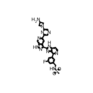 CS(=O)(=O)NCc1cc(F)cc(-c2nccc3[nH]c(-c4n[nH]c5cnc(-c6cncc(N7CC(N)C7)n6)cc45)nc23)c1